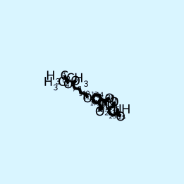 CC(C)(C)OC(=O)CCCCOc1ccc2c(c1)C(=O)N(C1CCC(=O)NC1=O)C2=O